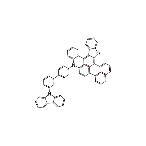 c1ccc(-c2ccc(N(c3ccc(-c4cccc(-n5c6ccccc6c6ccccc65)c4)cc3)c3ccccc3-c3ccc(-c4ccccc4)c4oc5ccccc5c34)cc2)cc1